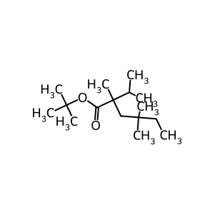 CCC(C)(C)CC(C)(C(=O)OC(C)(C)C)C(C)C